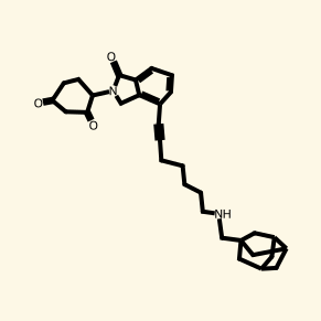 O=C1CCC(N2Cc3c(C#CCCCCCNCC45CC6CC(C4)C(C6)C5)cccc3C2=O)C(=O)C1